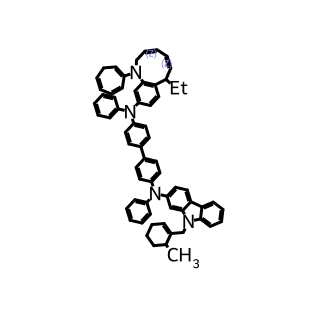 CCC1/C=C\C=C/CN(C2=CCC=CC=C2)c2cc(N(c3ccccc3)c3ccc(-c4ccc(N(c5ccccc5)c5ccc6c7ccccc7n(CC7=CCCCC7C)c6c5)cc4)cc3)ccc21